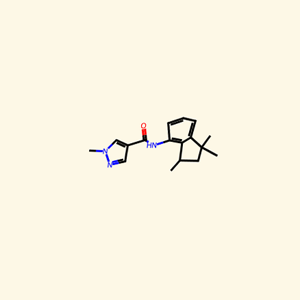 CC1CC(C)(C)c2cccc(NC(=O)c3cnn(C)c3)c21